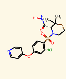 CC1(C)SCCN(S(=O)(=O)c2ccc(Oc3ccncc3)cc2)[C@@H]1C(=O)NO.Cl